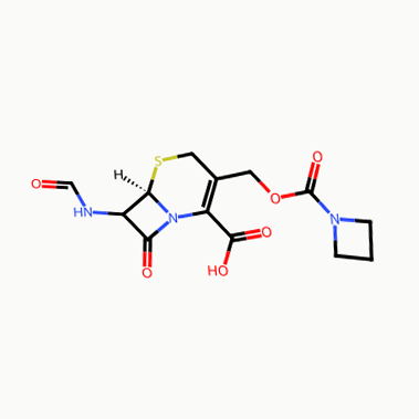 O=CNC1C(=O)N2C(C(=O)O)=C(COC(=O)N3CCC3)CS[C@H]12